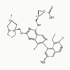 CCc1c(F)ccc2cc(O)cc(-c3ncc4c(NC[C@H]5C[C@@H]5C(=O)O)nc(OC[C@@]56CCCN5C[C@H](F)C6)nc4c3F)c12